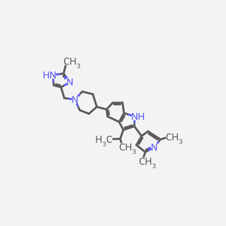 Cc1cc(-c2[nH]c3ccc(C4CCN(Cc5c[nH]c(C)n5)CC4)cc3c2C(C)C)cc(C)n1